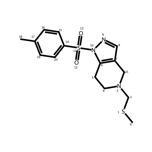 CSCN1CCc2c(cnn2S(=O)(=O)c2ccc(C)cc2)C1